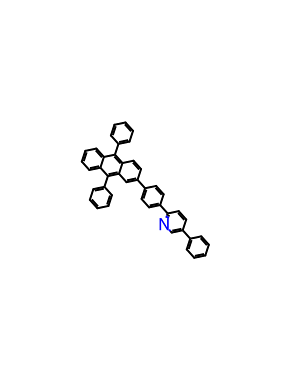 c1ccc(-c2ccc(-c3ccc(-c4ccc5c(-c6ccccc6)c6ccccc6c(-c6ccccc6)c5c4)cc3)nc2)cc1